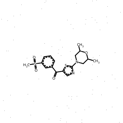 CC1CN(c2ncc(C(=O)c3cccc(S(C)(=O)=O)c3)s2)CC(C)O1